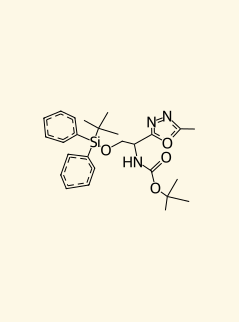 Cc1nnc(C(CO[Si](c2ccccc2)(c2ccccc2)C(C)(C)C)NC(=O)OC(C)(C)C)o1